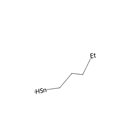 CCCC[CH2][SnH]